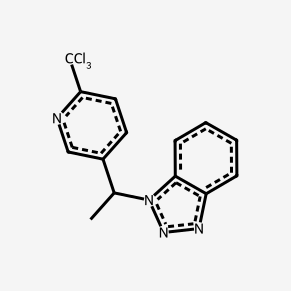 CC(c1ccc(C(Cl)(Cl)Cl)nc1)n1nnc2ccccc21